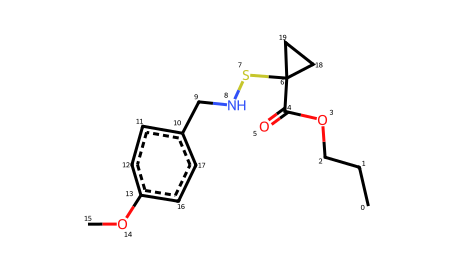 CCCOC(=O)C1(SNCc2ccc(OC)cc2)CC1